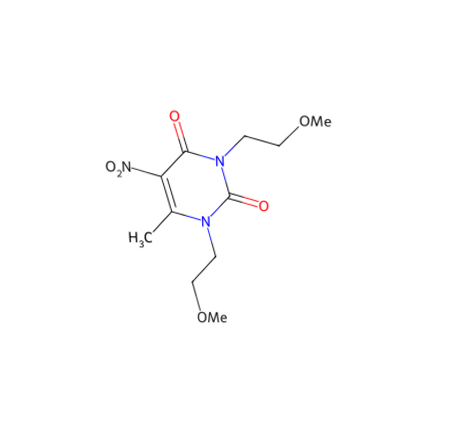 COCCn1c(C)c([N+](=O)[O-])c(=O)n(CCOC)c1=O